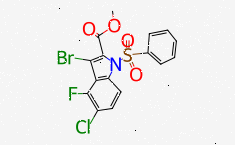 COC(=O)c1c(Br)c2c(F)c(Cl)ccc2n1S(=O)(=O)c1ccccc1